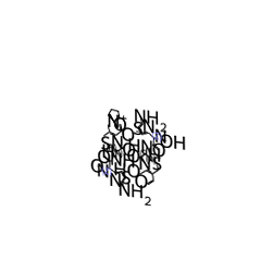 C=CC1=C(C(=O)O)N2C(=O)[C@@H](NC(=O)/C(=N\O)c3csc(N)n3)[C@H]2SC1.CO/N=C(\C(=O)N[C@@H]1C(=O)N2C(C(=O)[O-])=C(C[N+]3(C)CCCC3)CS[C@H]12)c1csc(N)n1